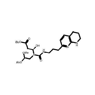 COC(CN(C(=O)NCCCc1ccc2c(n1)NCCC2)[C@H](O)CC(=O)OCC(C)C)OC